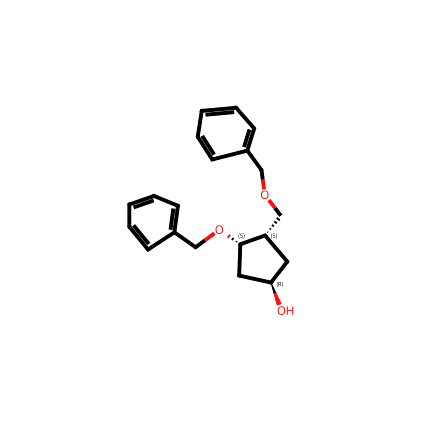 O[C@@H]1C[C@@H](COCc2ccccc2)[C@@H](OCc2ccccc2)C1